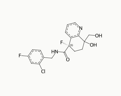 O=C(NCc1ccc(F)cc1Cl)[C@]1(F)CCC(O)(CO)c2ncccc21